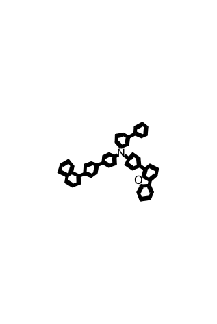 c1ccc(-c2cccc(N(c3ccc(-c4ccc(-c5cccc6ccccc56)cc4)cc3)c3ccc(-c4cccc5c4oc4ccccc45)cc3)c2)cc1